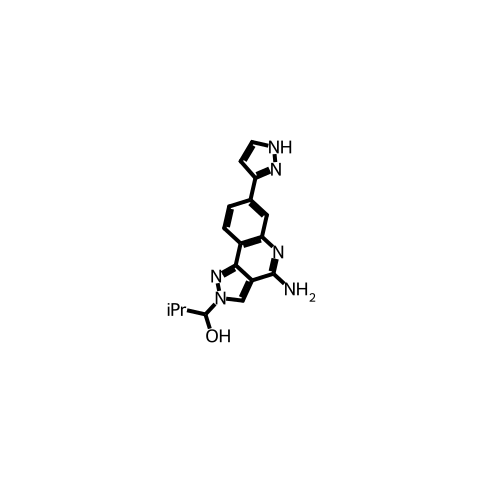 CC(C)C(O)n1cc2c(N)nc3cc(-c4cc[nH]n4)ccc3c2n1